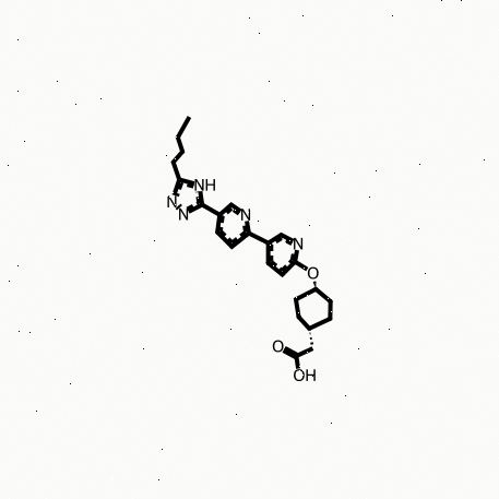 CCCCc1nnc(-c2ccc(-c3ccc(O[C@H]4CC[C@@H](CC(=O)O)CC4)nc3)nc2)[nH]1